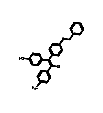 CCC(=C(c1ccc(O)cc1)c1ccc(OCc2ccccc2)cc1)c1ccc(C)cc1